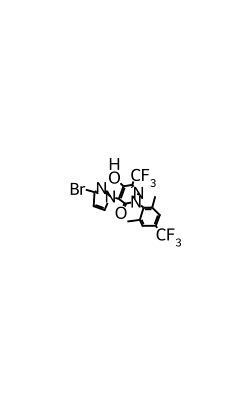 Cc1cc(C(F)(F)F)cc(C)c1-n1nc(C(F)(F)F)c(O)c(-n2ccc(Br)n2)c1=O